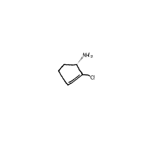 N[C@H]1CCC=C1Cl